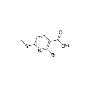 CSc1ccc(C(=O)O)c(Br)n1